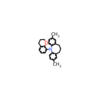 Cc1ccc2c(c1)CCCc1cc(C)ccc1N2c1cccc2c1OCCC2